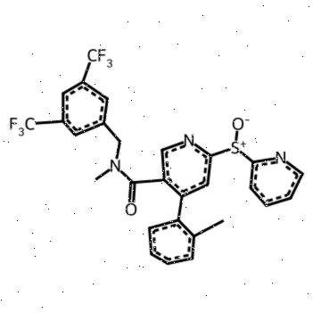 Cc1ccccc1-c1cc([S+]([O-])c2ccccn2)ncc1C(=O)N(C)Cc1cc(C(F)(F)F)cc(C(F)(F)F)c1